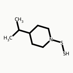 CC(C)C1CCN(SS)CC1